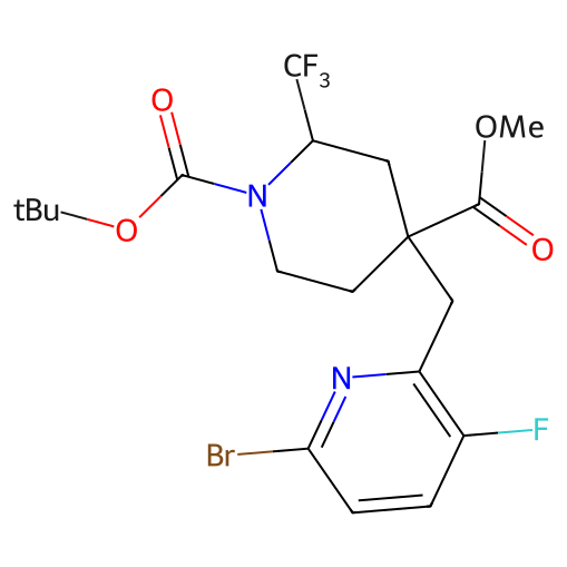 COC(=O)C1(Cc2nc(Br)ccc2F)CCN(C(=O)OC(C)(C)C)C(C(F)(F)F)C1